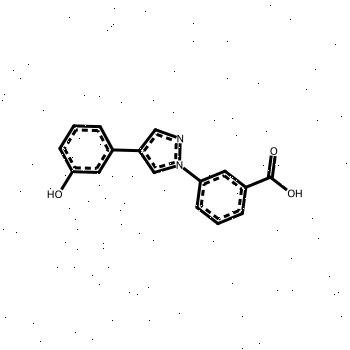 O=C(O)c1cccc(-n2cc(-c3cccc(O)c3)cn2)c1